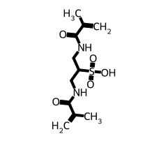 C=C(C)C(=O)NCC(CNC(=O)C(=C)C)S(=O)(=O)O